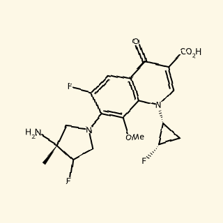 COc1c(N2CC(F)[C@](C)(N)C2)c(F)cc2c(=O)c(C(=O)O)cn([C@@H]3C[C@@H]3F)c12